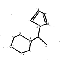 CC(N1CCOCC1)n1cc[c]n1